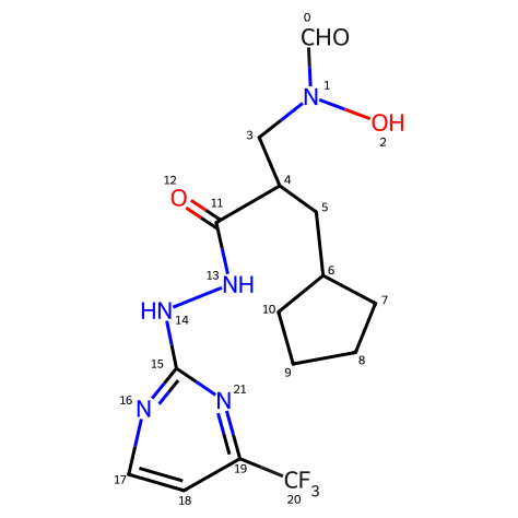 O=CN(O)CC(CC1CCCC1)C(=O)NNc1nccc(C(F)(F)F)n1